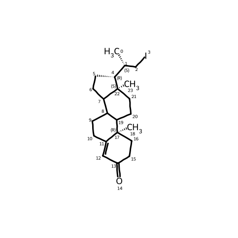 C[C@H](CI)[C@H]1CCC2C3CCC4=CC(=O)CC[C@]4(C)C3CC[C@@]21C